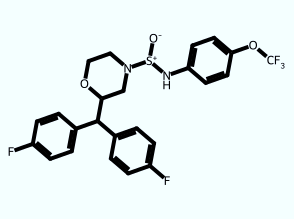 [O-][S+](Nc1ccc(OC(F)(F)F)cc1)N1CCOC(C(c2ccc(F)cc2)c2ccc(F)cc2)C1